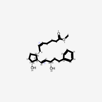 COC(=O)CCC/C=C\C[C@H]1CC[C@@H](O)[C@@H]1/C=C/[C@@H](O)CCc1ccccc1